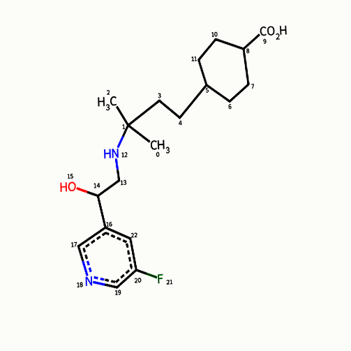 CC(C)(CCC1CCC(C(=O)O)CC1)NCC(O)c1cncc(F)c1